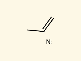 C=CC.[N]